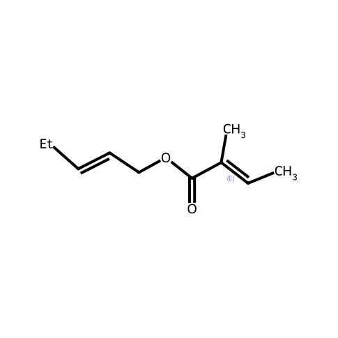 C/C=C(\C)C(=O)OCC=CCC